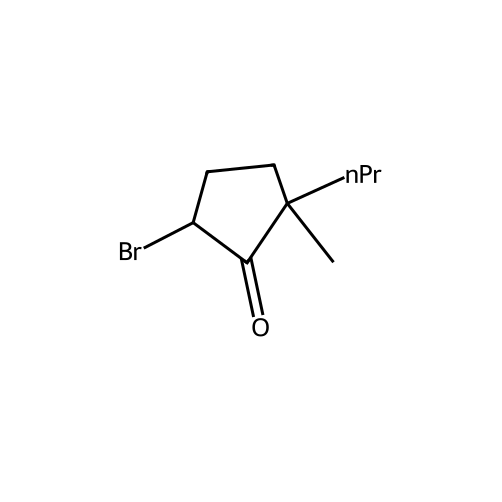 CCCC1(C)CCC(Br)C1=O